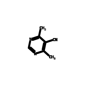 Cc1ncnc(C)c1C#N